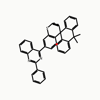 CC1(C)c2ccccc2C2(c3ccccc3Sc3cc(-c4nc(-c5ccccc5)nc5ccccc45)ccc32)c2ccccc21